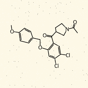 COc1ccc(COc2cc(Cl)c(Cl)cc2C(=O)C2CCN(C(C)=O)C2)cc1